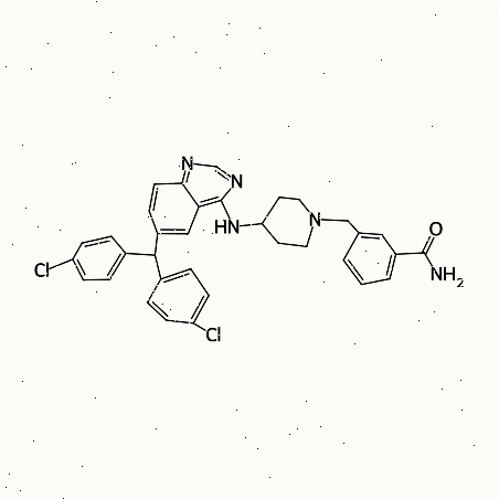 NC(=O)c1cccc(CN2CCC(Nc3ncnc4ccc(C(c5ccc(Cl)cc5)c5ccc(Cl)cc5)cc34)CC2)c1